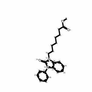 COC(=O)CCCCCCCn1c(=O)n(-c2ccccc2)c2ccccc21